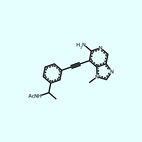 CC(=O)NC(C)c1cccc(C#Cc2c(N)ncc3ncn(C)c23)c1